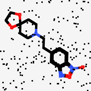 [O-][n+]1onc2cc(CCN3CCC4(CC3)OCCO4)ccc21